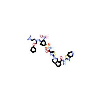 CN(C)CC[C@H](COc1ccccc1)Nc1ccc(S(=O)(=O)NC(=O)c2csc(N3CCC4CC=CC(C(=O)Nc5nc6cnccc6s5)=C4C3)n2)cc1[N+](=O)[O-]